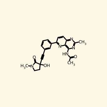 CC(=O)Nc1nc(C)nc2ccc(-c3cccc(C#CC4(O)CCN(C)C4=O)c3)nc12